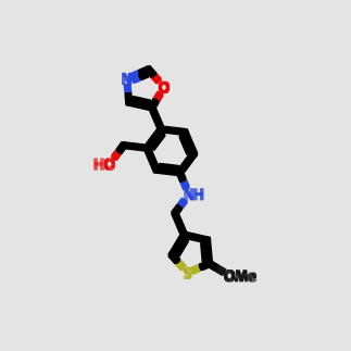 COc1cc(CNc2ccc(-c3cnco3)c(CO)c2)cs1